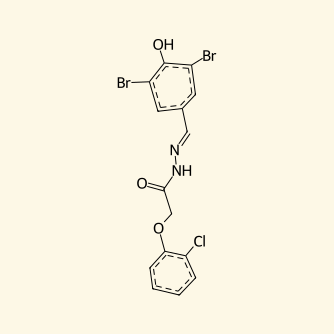 O=C(COc1ccccc1Cl)N/N=C/c1cc(Br)c(O)c(Br)c1